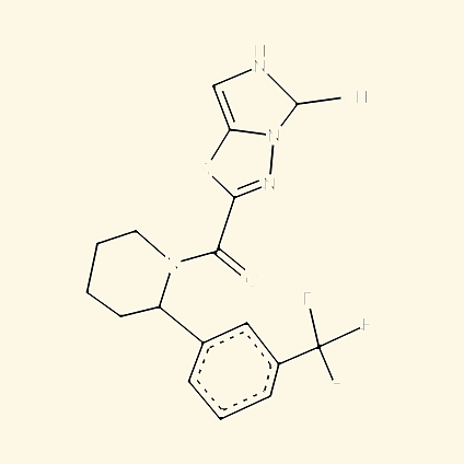 CC1NC=C2SC(C(=O)N3CCCCC3c3cccc(C(F)(F)F)c3)=NN21